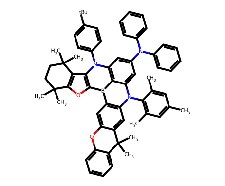 Cc1cc(C)c(N2c3cc4c(cc3B3c5oc6c(c5N(c5ccc(C(C)(C)C)cc5)c5cc(N(c7ccccc7)c7ccccc7)cc2c53)C(C)(C)CCC6(C)C)Oc2ccccc2C4(C)C)c(C)c1